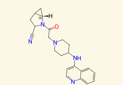 N#CC1CC2C[C@@H]2N1C(=O)CN1CCC(Nc2ccnc3ccccc23)CC1